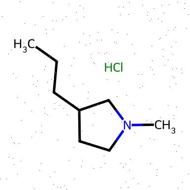 CCCC1CCN(C)C1.Cl